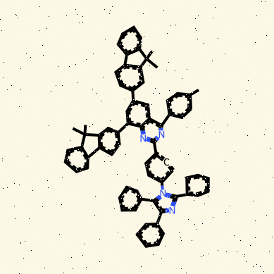 Cc1ccc(-c2nc(-c3ccc(-n4c(-c5ccccc5)nc(-c5ccccc5)c4-c4ccccc4)cc3)nc3c(-c4ccc5c(c4)C(C)(C)c4ccccc4-5)cc(-c4ccc5c(c4)C(C)(C)c4ccccc4-5)cc23)cc1